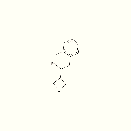 CCC(Cc1ccccc1C)C1COC1